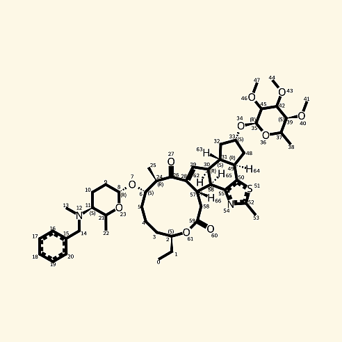 CC[C@H]1CCC[C@H](O[C@H]2CC[C@H](N(C)Cc3ccccc3)C(C)O2)[C@@H](C)C(=O)C2=C[C@H]3[C@@H]4C[C@H](O[C@@H]5OC(C)[C@H](OC)C(OC)C5OC)C[C@H]4c4sc(C)nc4[C@H]3[C@@H]2CC(=O)O1